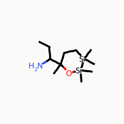 CCC(N)C1(C)CC[Si](C)(C)[Si](C)(C)O1